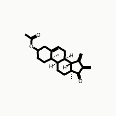 C=C1C(=C)[C@H]2[C@@H]3CC=C4CC(OC(C)=O)CC[C@]4(C)[C@@H]3CC[C@]2(C)C1=O